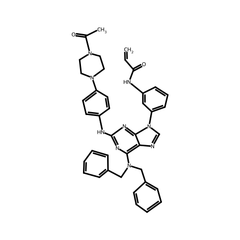 C=CC(=O)Nc1cccc(-n2cnc3c(N(Cc4ccccc4)Cc4ccccc4)nc(Nc4ccc(N5CCN(C(C)=O)CC5)cc4)nc32)c1